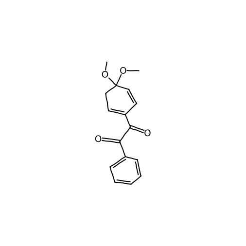 COC1(OC)C=CC(C(=O)C(=O)c2ccccc2)=CC1